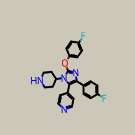 Fc1ccc(Oc2nc(-c3ccc(F)cc3)c(-c3ccncc3)n2C2CCNCC2)cc1